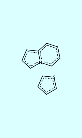 c1ccn2cccc2c1.c1ccsc1